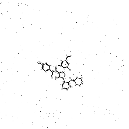 COc1cc(F)c([C@@H]2CN(c3cncnc3OC3CCOCC3)C(=O)C2NC(=O)c2ccc(Cl)cc2)c(F)c1